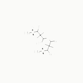 CCCC(OC(CCC)C(C)(C)C(CCC)S(N)(=O)=O)C(C)(C)C(CC)S(N)(=O)=O